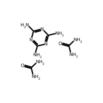 NC(N)=O.NC(N)=O.Nc1nc(N)nc(N)n1